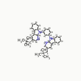 CC(C)(C)Cc1cnc2c(c1)c1ccccc1n2-c1cccc(-n2c3ccccc3c3cc(CC(C)(C)C)cnc32)c1